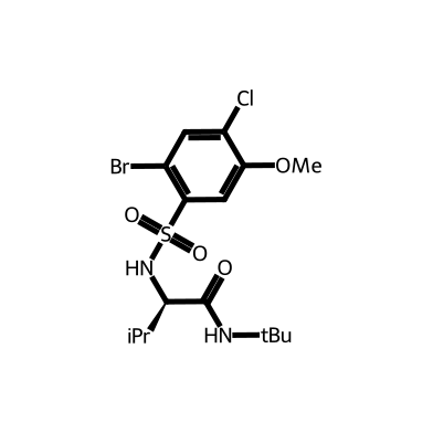 COc1cc(S(=O)(=O)N[C@@H](C(=O)NC(C)(C)C)C(C)C)c(Br)cc1Cl